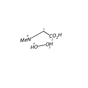 CNCC(=O)O.OO